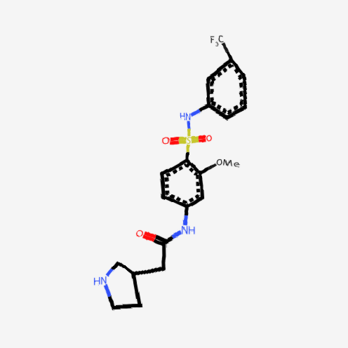 COc1cc(NC(=O)CC2CCNC2)ccc1S(=O)(=O)Nc1cccc(C(F)(F)F)c1